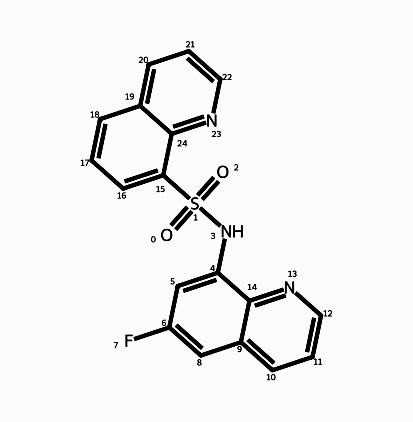 O=S(=O)(Nc1cc(F)cc2cccnc12)c1cccc2cccnc12